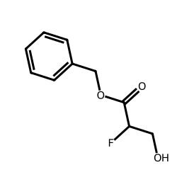 O=C(OCc1ccccc1)C(F)CO